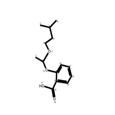 CC(C)CCOC(C)Oc1ccccc1C(=O)O